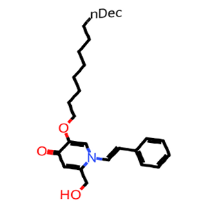 CCCCCCCCCCCCCCCCCCOc1cn(C=Cc2ccccc2)c(CO)cc1=O